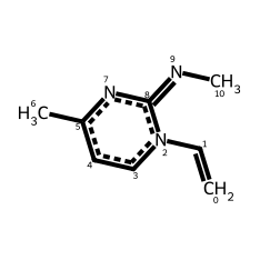 C=Cn1ccc(C)n/c1=N/C